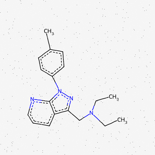 CCN(CC)Cc1nn(-c2ccc(C)cc2)c2ncccc12